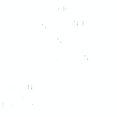 C[C@H](Nc1ccnc2ccccc12)c1nc(OC2CCN(S(C)(=O)=O)CC2)c2ccccc2n1